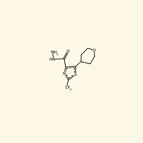 NNC(=O)c1nc(C(F)(F)F)sc1N1CCOCC1